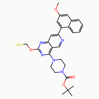 COc1cc(-c2cc3nc(OCS)nc(N4CCN(C(=O)OC(C)(C)C)CC4)c3cn2)c2ccccc2c1